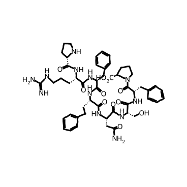 N=C(N)NCCC[C@H](NC(=O)[C@@H]1CCCN1)C(=O)N[C@@H](Cc1ccccc1)C(=O)N[C@@H](CCc1ccccc1)C(=O)N[C@@H](CC(N)=O)C(=O)N[C@@H](CO)C(=O)N[C@@H](Cc1ccccc1)C(=O)N1CCC[C@@H]1C(=O)O